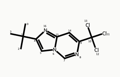 CC(C)(C)c1cn2cnc(C(Cl)(Cl)Cl)cc2n1